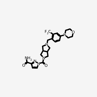 NC(=O)c1ccn(C(=O)N2CC3CN(Cc4ccc(N5CCOCC5)cc4C(F)(F)F)CC3C2)n1